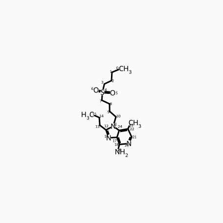 CCCCS(=O)(=O)CCCCn1c(CCC)nc2c(N)ncc(C)c21